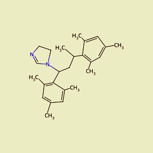 Cc1cc(C)c(C(C)CC(c2c(C)cc(C)cc2C)N2C=NCC2)c(C)c1